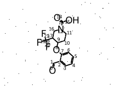 O=Cc1ccccc1OC1CCN(C(=O)O)CC1C(F)(F)F